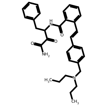 CCCN(CCC)Cc1ccc(C=Cc2ccccc2C(=O)NC(Cc2ccccc2)C(=O)C(N)=O)cc1